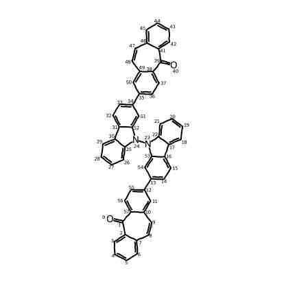 O=c1c2ccccc2ccc2cc(-c3ccc4c5ccccc5n(-n5c6ccccc6c6ccc(-c7ccc8c(=O)c9ccccc9ccc8c7)cc65)c4c3)ccc12